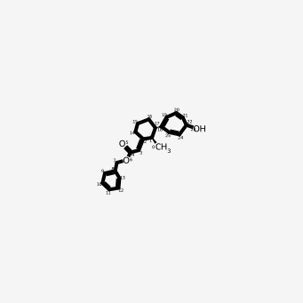 C[C@H]1/C(=C/C(=O)OCc2ccccc2)CCC[C@@H]1C1=CC=CC(O)C=C1